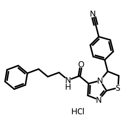 Cl.N#Cc1ccc(C2CSc3ncc(C(=O)NCCCc4ccccc4)n32)cc1